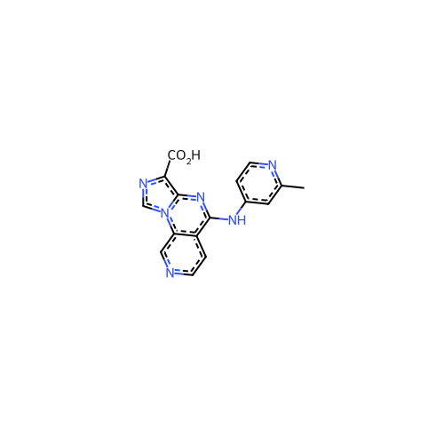 Cc1cc(Nc2nc3c(C(=O)O)ncn3c3cnccc23)ccn1